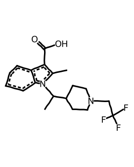 Cc1c(C(=O)O)c2ccccc2n1C(C)C1CCN(CC(F)(F)F)CC1